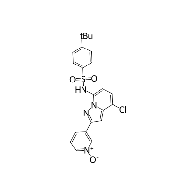 CC(C)(C)c1ccc(S(=O)(=O)Nc2ccc(Cl)c3cc(-c4ccc[n+]([O-])c4)nn23)cc1